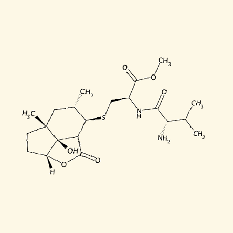 COC(=O)[C@H](CS[C@H]1C2C(=O)O[C@@H]3CC[C@](C)(C[C@@H]1C)[C@]23O)NC(=O)[C@@H](N)C(C)C